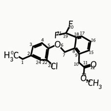 CCc1ccc(OCc2c(CC(=O)OC)cccc2C(F)F)c(Cl)c1